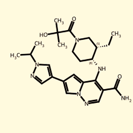 CC[C@H]1CN(C(=O)C(C)(C)O)CC[C@H]1Nc1c(C(N)=O)cnn2cc(-c3cnn(C(C)C)c3)cc12